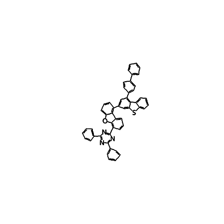 c1ccc(-c2ccc(-c3cc(-c4cccc5oc6c(-c7nc(-c8ccccc8)nc(-c8ccccc8)n7)cccc6c45)cc4sc5ccccc5c34)cc2)cc1